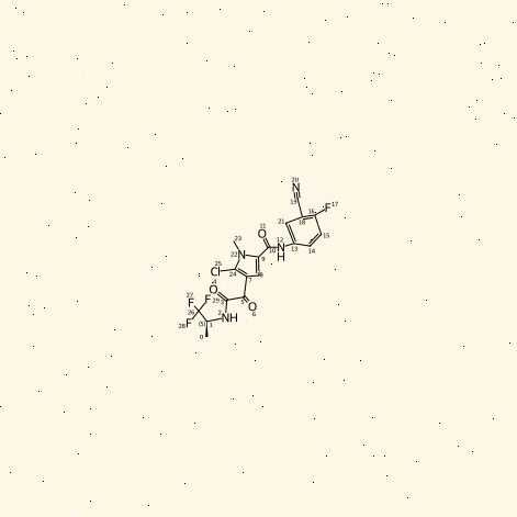 C[C@H](NC(=O)C(=O)c1cc(C(=O)Nc2ccc(F)c(C#N)c2)n(C)c1Cl)C(F)(F)F